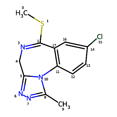 CSC1=NCc2nnc(C)n2-c2ccc(Cl)cc21